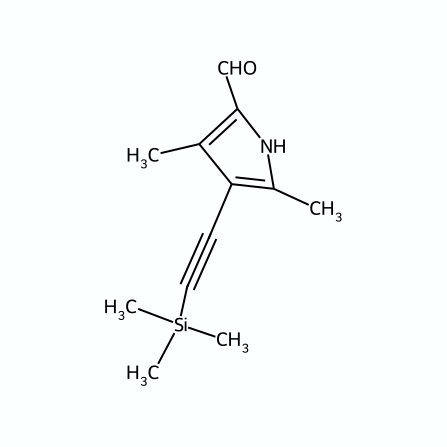 Cc1[nH]c(C=O)c(C)c1C#C[Si](C)(C)C